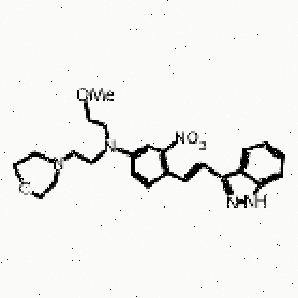 COCCN(CCN1CCOCC1)c1ccc(C=Cc2n[nH]c3ccccc23)c([N+](=O)[O-])c1